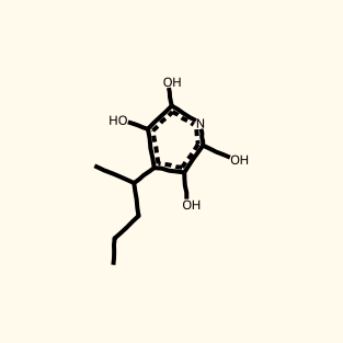 CCCC(C)c1c(O)c(O)nc(O)c1O